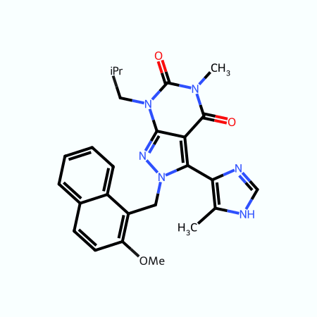 COc1ccc2ccccc2c1Cn1nc2c(c1-c1nc[nH]c1C)c(=O)n(C)c(=O)n2CC(C)C